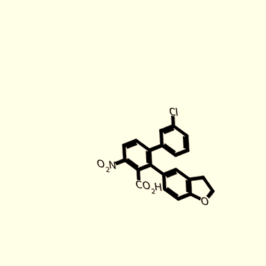 O=C(O)c1c([N+](=O)[O-])ccc(-c2cccc(Cl)c2)c1-c1ccc2c(c1)CCO2